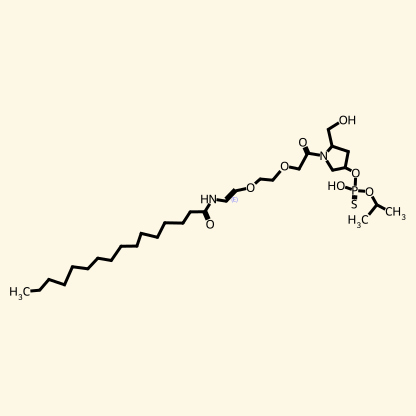 CCCCCCCCCCCCCCCC(=O)N/C=C/OCCOCC(=O)N1CC(OP(O)(=S)OC(C)C)CC1CO